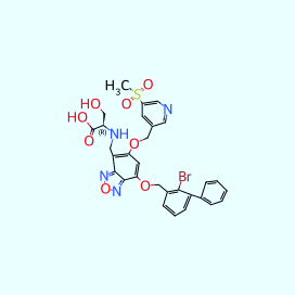 CS(=O)(=O)c1cncc(COc2cc(OCc3cccc(-c4ccccc4)c3Br)c3nonc3c2CN[C@H](CO)C(=O)O)c1